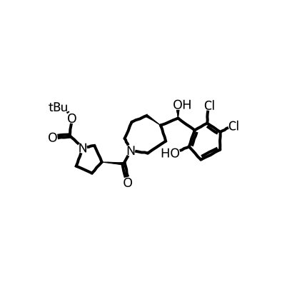 CC(C)(C)OC(=O)N1CC[C@H](C(=O)N2CCC[C@@H]([C@@H](O)c3c(O)ccc(Cl)c3Cl)CC2)C1